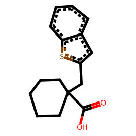 O=C(O)C1(Cc2cc3ccccc3s2)CCCCC1